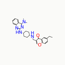 CCc1ccc2occ(CN[C@H]3CC[C@@H](Nc4nc(N(C)C)c5ccccc5n4)CC3)c(=O)c2c1